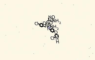 NOCC(CN=O)Cn1c(=O)n(N)/c(=N\c2ccc(OC3=CC(Cl)NC=C3)cc2)n(Cc2ccc(Cl)cc2)c1=O